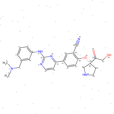 CN(C)Cc1cccc(Nc2nccc(-c3ccc(O[C@]4(C(=O)CO)CCNC4)c(C#N)c3)n2)c1